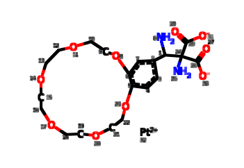 NC(c1ccc2c(c1)OCCOCCOCCOCCOCCO2)C(N)(C(=O)[O-])C(=O)[O-].[Pt+2]